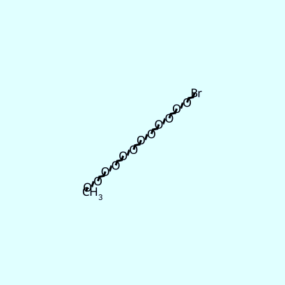 COCCOCCOCCOCCOCCOCCOCCOCCOCCOCCOCCOCCBr